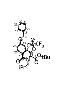 CC(C)Cn1c(C(=O)OC(C)(C)C)c(OS(=O)(=O)C(F)(F)F)c2cc(OCc3ccccc3)ccc2c1=O